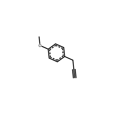 [C]#CCc1ccc(OC)cc1